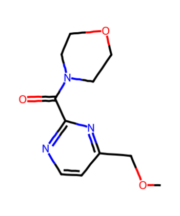 COCc1ccnc(C(=O)N2CCOCC2)n1